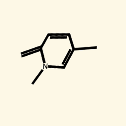 C=C1C=CC(C)=CN1C